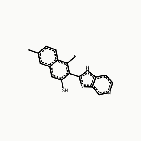 Cc1ccc2c(F)c(-c3nc4cnccc4[nH]3)c(S)cc2c1